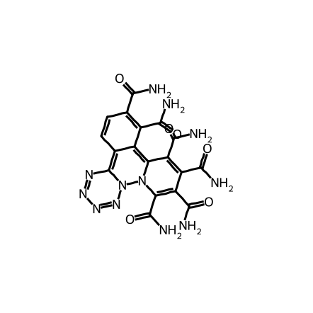 NC(=O)C1=C(C(N)=O)C2=c3c(C(N)=O)c(C(N)=O)ccc3=C3N=NN=NN3N2C(C(N)=O)=C1C(N)=O